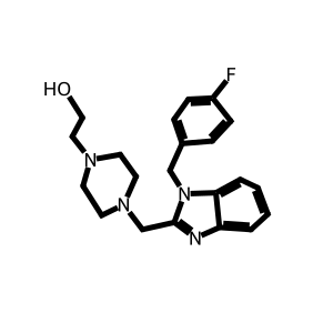 OCCN1CCN(Cc2nc3ccccc3n2Cc2ccc(F)cc2)CC1